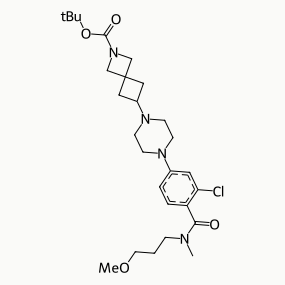 COCCCN(C)C(=O)c1ccc(N2CCN(C3CC4(C3)CN(C(=O)OC(C)(C)C)C4)CC2)cc1Cl